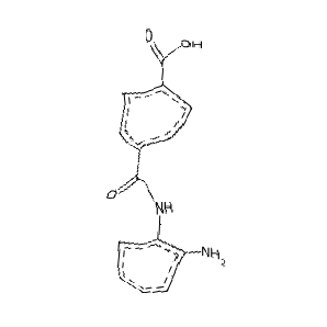 Nc1ccccc1NC(=O)c1ccc(C(=O)O)cc1